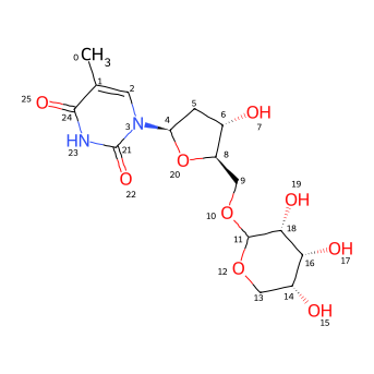 Cc1cn([C@H]2C[C@H](O)[C@@H](COC3OC[C@@H](O)[C@@H](O)[C@H]3O)O2)c(=O)[nH]c1=O